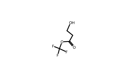 O=C(CCO)OC(F)(F)F